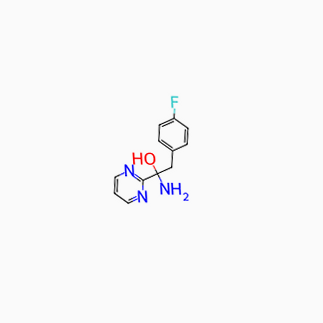 NC(O)(Cc1ccc(F)cc1)c1ncccn1